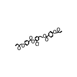 C=CC(=O)COc1ccc(C(=O)OCCc2ccc(OC(=O)c3ccc(OCC(=O)C=C)cc3)c(Cl)c2)cc1